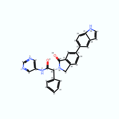 O=C(Nc1cncnc1)[C@@H](c1ccccc1)N1Cc2ccc(-c3ccc4[nH]ccc4c3)cc2C1=O